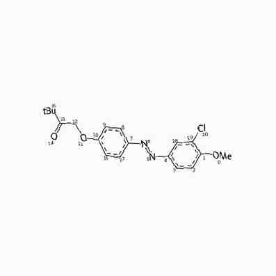 COc1ccc(N=Nc2ccc(OCC(=O)C(C)(C)C)cc2)cc1Cl